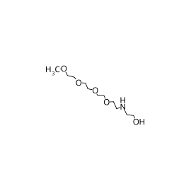 COCCOCCOCCOCCNCCO